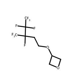 FC(F)(F)C(F)(F)C(F)(CCOC1COC1)C(F)(F)F